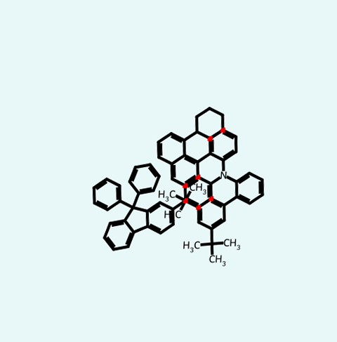 CC(C)(C)c1cc(-c2ccccc2N(c2ccc(-c3ccc4c(c3)C(c3ccccc3)(c3ccccc3)c3ccccc3-4)cc2)c2ccccc2-c2cccc3cccc(C4CCCCC4)c23)cc(C(C)(C)C)c1